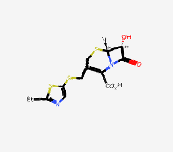 CCc1ncc(SCC2=C(C(=O)O)N3C(=O)[C@@H](O)[C@H]3SC2)s1